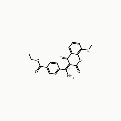 CCOC(=O)c1ccc(/C(N)=C2/C(=O)Oc3c(OC)cccc3C2=O)cc1